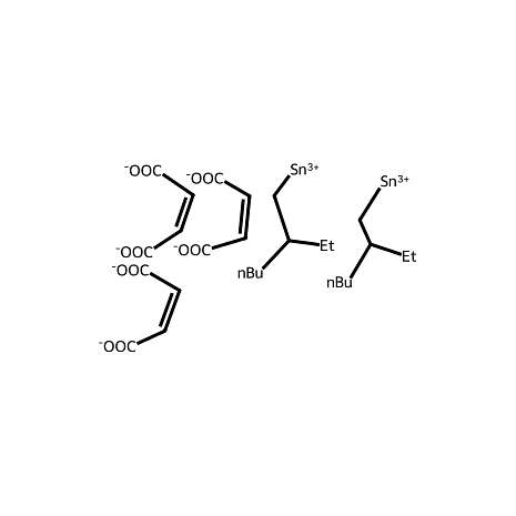 CCCCC(CC)[CH2][Sn+3].CCCCC(CC)[CH2][Sn+3].O=C([O-])/C=C\C(=O)[O-].O=C([O-])/C=C\C(=O)[O-].O=C([O-])/C=C\C(=O)[O-]